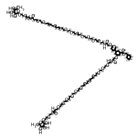 C[C@@H]1O[C@@H](OCCOCCNC(=O)CCOCCOCCOCCOCCOCCOCCOCCOCCOCCOCCOCCOCCNC(=O)COc2ccc(-c3cc(OCC(=O)NCCOCCOCCOCCOCCOCCOCCOCCOCCOCCOCCOCCOCCC(=O)NCCOCCO[C@@H]4O[C@@H](C)[C@H](O)[C@@H](O)[C@H]4O)cc(C(=O)OCc4ccccc4)c3)cc2)[C@H](O)[C@H](O)[C@H]1O